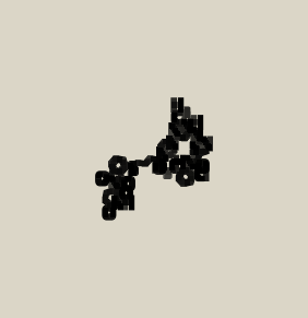 Cc1nc(Nc2ncc(C(=O)Nc3c(C)cccc3Cl)s2)cc(N2CCN(C(=O)CCCSc3cccc4c3C(=O)N(C3CCC(=O)NC3=O)C4=O)CC2)n1